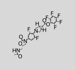 CC(=O)NC[C@H]1CN(c2cc(F)c(N3C[C@@H]4C(C(=O)Oc5c(F)c(F)c(F)c(F)c5F)[C@@H]4C3)c(F)c2)C(=O)O1